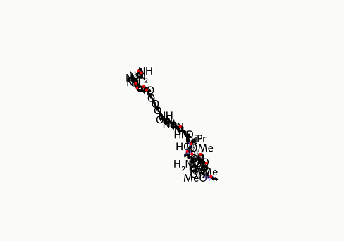 C=C/C=C/C=C(\C)[C@H](C[C@@H]1CC[C@@H](C)[C@](O)(C(=O)C(=O)N2CCCC[C@H]2C(=O)O[C@@H](C[C@@H](O)[C@H](C)/C=C(\C)[C@@H](O)[C@@H](OC)/C(=N/OCC(=O)NCc2cnc(N3CCN(c4ncc(C(=O)NCCOCCOCCOCCC(=O)N5CCc6cc(Cn7nc(-c8cnc9[nH]ccc9c8)c8c(N)ncnc87)ccc6C5)cn4)CC3)nc2)[C@H](C)CC(C)C)[C@H](N)C[C@@H]2CC[C@@H](O)[C@H](OC)C2)O1)OC